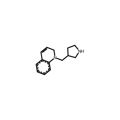 C1=Cc2ccccc2N(CC2CCNC2)C1